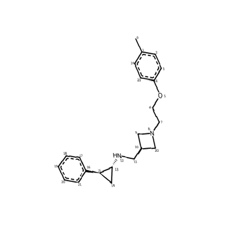 Cc1ccc(OCCN2CC(CN[C@@H]3C[C@H]3c3ccccc3)C2)cc1